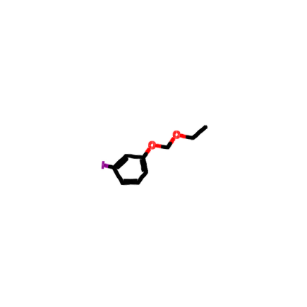 CCOCOc1cccc(I)c1